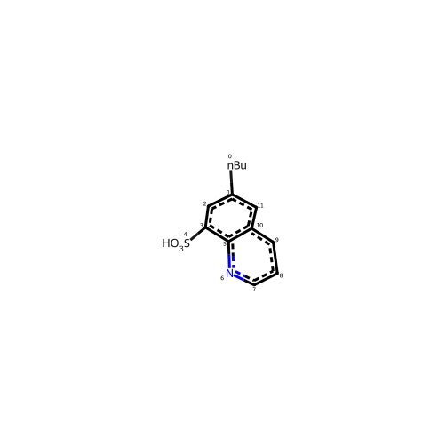 CCCCc1cc(S(=O)(=O)O)c2ncccc2c1